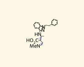 CN/C=C\C(C(=O)O)=C(/C)Nc1nn(CCc2ccccc2)c2ccccc12